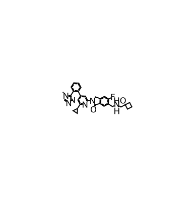 Cn1cnnc1-c1ccccc1-c1cc(C2CC2)nc(N2Cc3cc(F)c(CNCC4(O)CCC4)cc3C2=O)c1